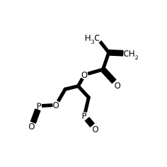 C=C(C)C(=O)OC(COP=O)CP=O